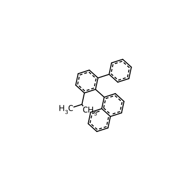 CC(C)c1cccc(-c2ccccc2)c1-c1cccc2ccccc12